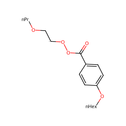 CCCCCCOc1ccc(C(=O)OO[CH]COCCC)cc1